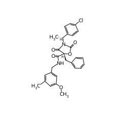 COc1cc(C)cc(CNC(=O)[C@@]2(Cc3ccccc3)OC(=O)N([C@H](C)c3ccc(Cl)cc3)C2=O)c1